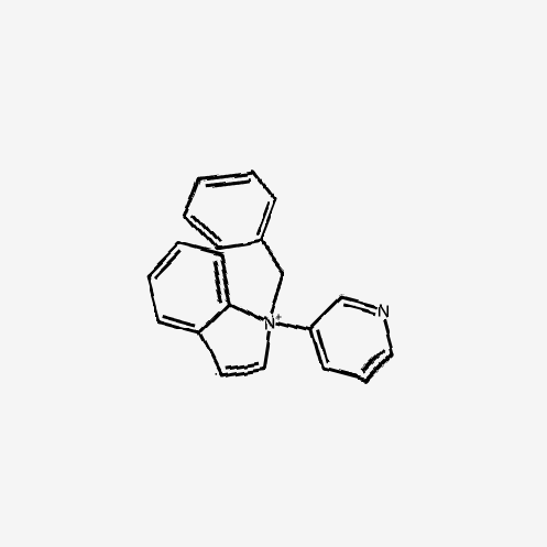 [C]1=C[N+](Cc2ccccc2)(c2cccnc2)c2ccccc21